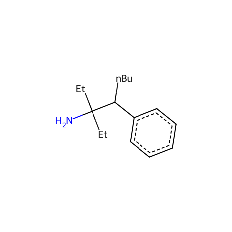 CCCCC(c1ccccc1)C(N)(CC)CC